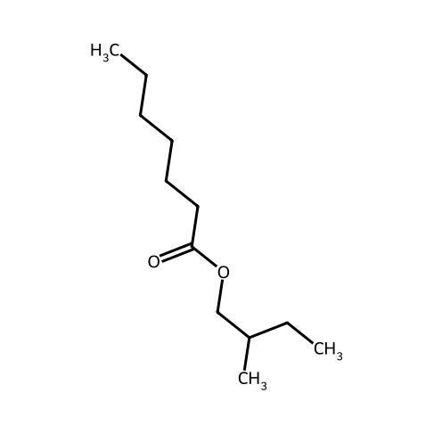 CCCCCCC(=O)OCC(C)CC